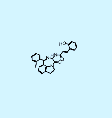 O=C(/C=C/c1ccccc1O)NC1N=C(c2ccccc2F)c2cccc3c2N(CC3)C1=O